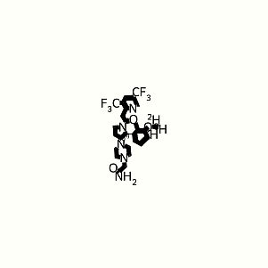 [2H]C([2H])([2H])Oc1cccc([C@@H]2[C@H](N3CCN(CC(N)=O)CC3)CCN2C(=O)Cc2ncc(C(F)(F)F)cc2C(F)(F)F)c1C